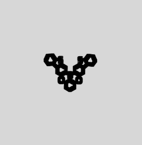 c1cc2c3c(c1)Oc1cc4c(cc1B3c1cc3sc5ccccc5c3cc1O2)sc1ccccc14